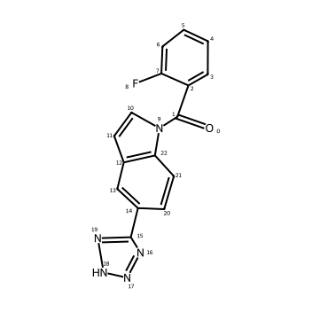 O=C(c1ccccc1F)n1ccc2cc(-c3nn[nH]n3)ccc21